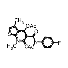 CC(=O)Oc1c(C(=O)N(C(C)=O)c2ccc(F)cc2)c(=O)n(C)c2scc(C)c12